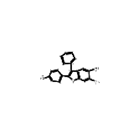 Cc1cc2oc(-c3ccc(O)cc3)c(-c3ccccc3)c2cc1O